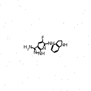 Nc1n[nH]c2nc(Nc3cccc4c3CCN4)c(F)cc12